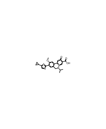 COc1cc2c(cc1-c1ncc(C3CC3)s1)CN(C(C)C)n1cc(C(=O)O)c(=O)cc1-2